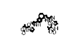 COC(=O)N[C@H](C(=O)N1CCC[C@H]1c1ncc(-c2ccc3c(c2)CCCc2cc(-c4cnc([C@@H]5CCCN5C(=O)[C@@H](NC(=O)OC)C(C)C)[nH]4)sc2-3)[nH]1)C(C)C